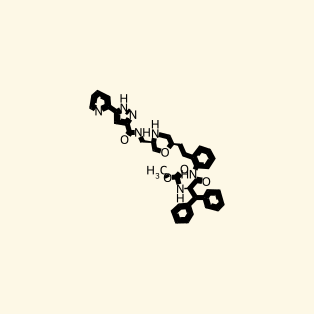 COC(=O)N[C@H](C(=O)Nc1ccccc1CC[C@@H]1CN[C@H](CNC(=O)c2cc(-c3ccccn3)[nH]n2)CO1)C(c1ccccc1)c1ccccc1